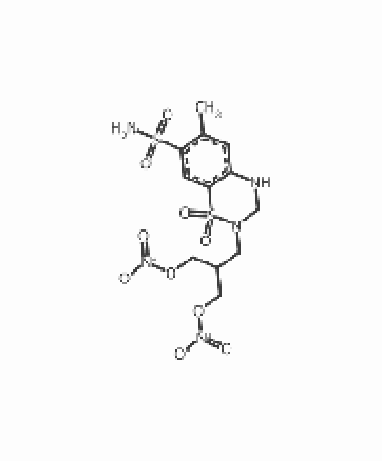 Cc1cc2c(cc1S(N)(=O)=O)S(=O)(=O)N(CC(CO[N+](=O)[O-])CO[N+](=O)[O-])CN2